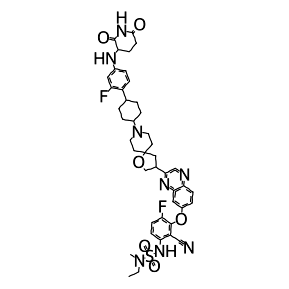 CCN(C)S(=O)(=O)Nc1ccc(F)c(Oc2ccc3ncc(C4COC5(CCN(C6CCC(c7ccc(NC8CCC(=O)NC8=O)cc7F)CC6)CC5)C4)nc3c2)c1C#N